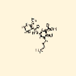 CCCCc1cc(NC(=O)C2=C(C)OCCS2)cc(C(=O)O)c1Cl